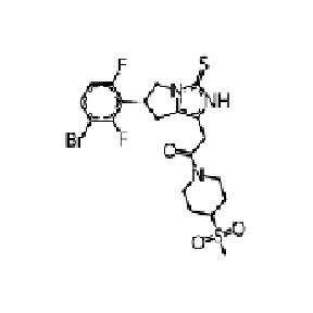 CS(=O)(=O)C1CCN(C(=O)Cc2[nH]c(=S)n3c2C[C@@H](c2c(F)ccc(Br)c2F)C3)CC1